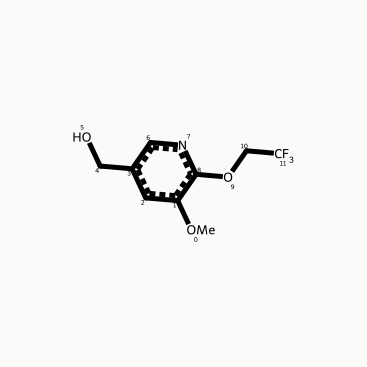 COc1cc(CO)cnc1OCC(F)(F)F